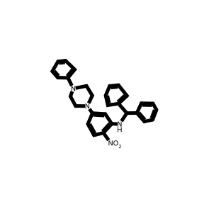 O=[N+]([O-])c1ccc(N2CCN(c3ccccc3)CC2)cc1NC(c1ccccc1)c1ccccc1